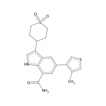 Cc1cscc1-c1cc(C(N)=O)c2[nH]cc(C3CCS(=O)(=O)CC3)c2c1